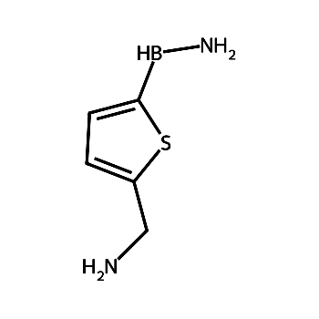 NBc1ccc(CN)s1